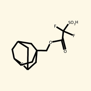 O=C(OCC12CCC3CC(CC(C3)C1)C2)C(F)(F)S(=O)(=O)O